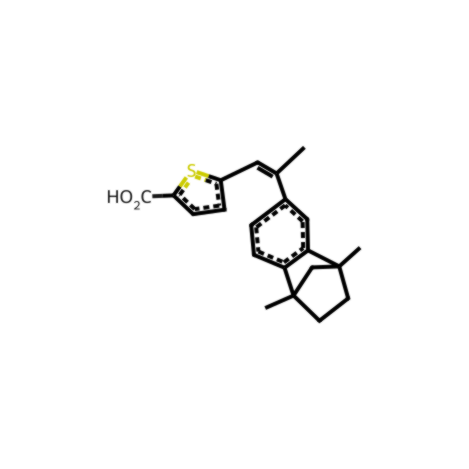 C/C(=C/c1ccc(C(=O)O)s1)c1ccc2c(c1)C1(C)CCC2(C)C1